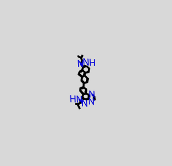 CC(C)c1nc2c([nH]1)CCc1c-2ccc2cc(-c3ccc4c(c3)c3nccnc3c3nc(C(C)C)[nH]c43)ccc12